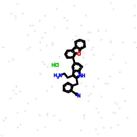 Cl.N#Cc1ccccc1Cc1[nH]c2ccc(-c3cccc4c3oc3ccccc34)cc2c1CCN